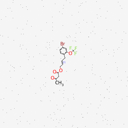 CC(=O)CC(=O)OC/C=C/Cc1ccc(Br)cc1OC(F)(F)F